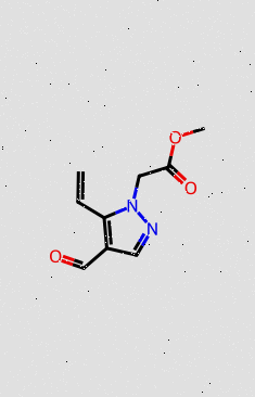 C=Cc1c(C=O)cnn1CC(=O)OC